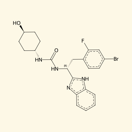 O=C(N[C@H](Cc1ccc(Br)cc1F)c1nc2ccccc2[nH]1)N[C@H]1CC[C@H](O)CC1